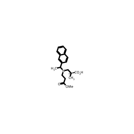 COC(=O)CCN(C[C@H](C)C(=O)O)C(C)c1ccc2ccccc2c1